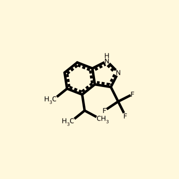 Cc1ccc2[nH]nc(C(F)(F)F)c2c1C(C)C